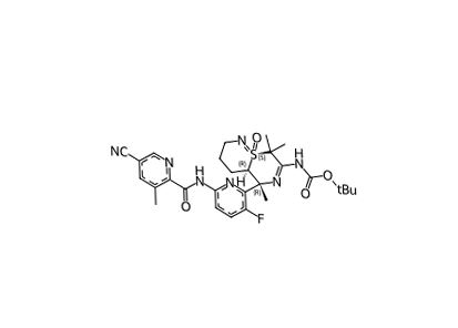 Cc1cc(C#N)cnc1C(=O)Nc1ccc(F)c([C@@]2(C)N=C(NC(=O)OC(C)(C)C)C(C)(C)[S@]3(=O)=NCCC[C@H]23)n1